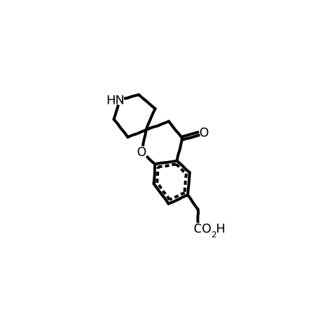 O=C(O)Cc1ccc2c(c1)C(=O)CC1(CCNCC1)O2